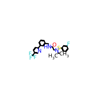 CC(C)N(CC(=O)NCc1cccc(-c2ccc(C(F)(F)F)cn2)c1)Sc1cccc(F)c1